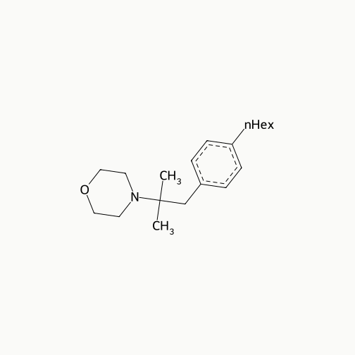 CCCCCCc1ccc(CC(C)(C)N2CCOCC2)cc1